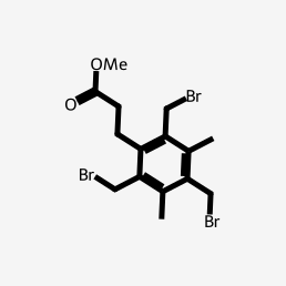 COC(=O)CCc1c(CBr)c(C)c(CBr)c(C)c1CBr